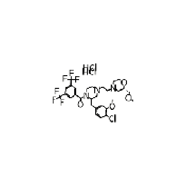 COC[C@@H]1CN(CCN2CCN(C(=O)c3cc(C(F)(F)F)cc(C(F)(F)F)c3)C(Cc3ccc(Cl)c(OC)c3)C2)CCO1.Cl.Cl